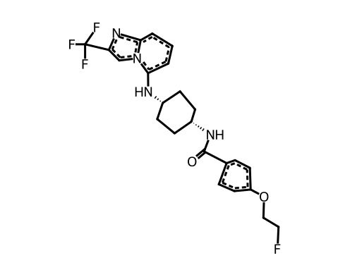 O=C(N[C@H]1CC[C@@H](Nc2cccc3nc(C(F)(F)F)cn23)CC1)c1ccc(OCCF)cc1